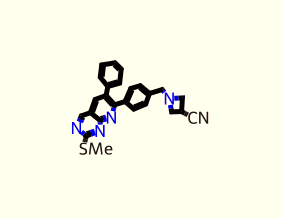 CSc1ncc2cc(-c3ccccc3)c(-c3ccc(CN4CC(C#N)C4)cc3)nc2n1